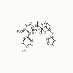 CC1CC2CC(Cn3ccnn3)(C1)N2C(=O)Nc1ccc(C(F)(F)F)c(-c2ncc(F)cn2)c1